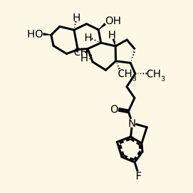 C[C@H](CCC(=O)N1Cc2cc(F)ccc21)[C@H]1CC[C@H]2[C@@H]3[C@H](O)C[C@@H]4C[C@H](O)CC[C@]4(C)[C@H]3CC[C@]12C